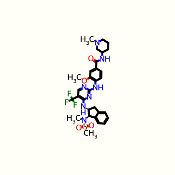 COc1cc(C(=O)NC2CCCN(C)C2)ccc1Nc1ncc(C(F)(F)F)c(N[C@@H]2Cc3ccccc3[C@H]2N(C)S(C)(=O)=O)n1